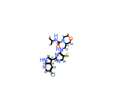 CC(C)NC(=O)N1CCOCC1CNc1nc(-c2c[nH]c3ncc(Cl)cc23)ncc1F